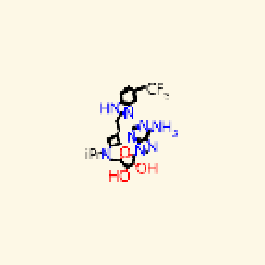 CC(C)N(C[C@H]1O[C@@H](n2cnc3c(N)ncnc32)[C@H](O)[C@@H]1O)[C@H]1C[C@H](CCc2nc3cc(CC(F)(F)F)ccc3[nH]2)C1